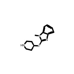 Cn1c(OC2CCNCC2)nc2ccccc21